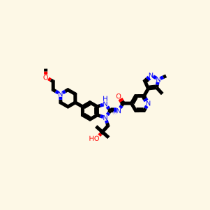 COCCN1CCC(c2ccc3c(c2)[nH]/c(=N\C(=O)c2ccnc(-c4cnn(C)c4C)c2)n3CC(C)(C)O)CC1